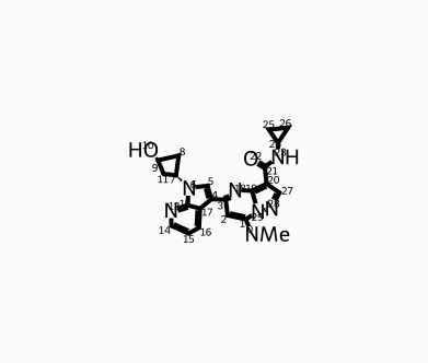 CNc1cc(-c2cn([C@H]3C[C@@H](O)C3)c3ncccc23)nc2c(C(=O)NC3CC3)cnn12